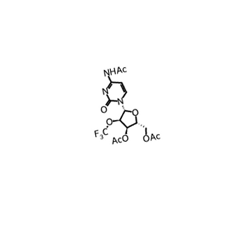 CC(=O)Nc1ccn([C@@H]2O[C@H](COC(C)=O)[C@@H](OC(C)=O)[C@H]2OC(F)(F)F)c(=O)n1